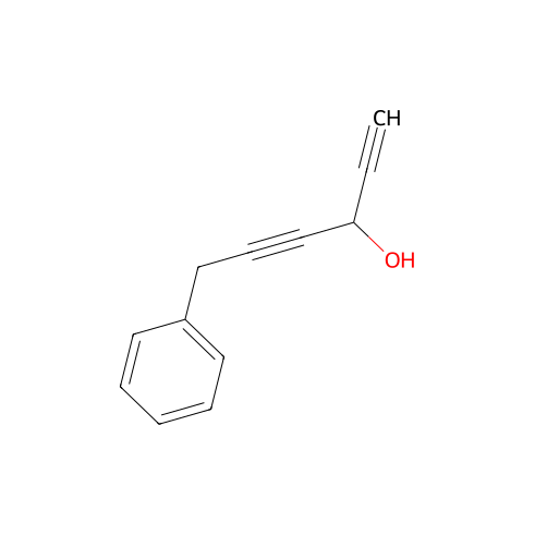 C#CC(O)C#CCc1ccccc1